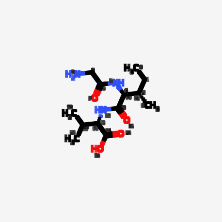 CC[C@H](C)[C@H](NC(=O)CN)C(=O)N[C@H](C(=O)O)C(C)C